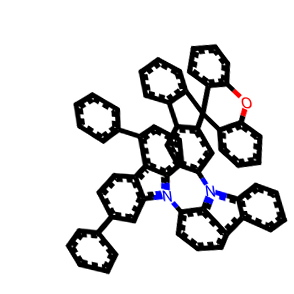 c1ccc(-c2ccc3c4c(-c5ccccc5)cccc4n(-c4cccc5c6ccccc6n(-c6ccc7c(c6)C6(c8ccccc8Oc8ccccc86)c6ccccc6-7)c45)c3c2)cc1